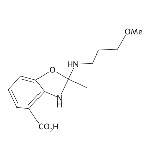 COCCCNC1(C)Nc2c(cccc2C(=O)O)O1